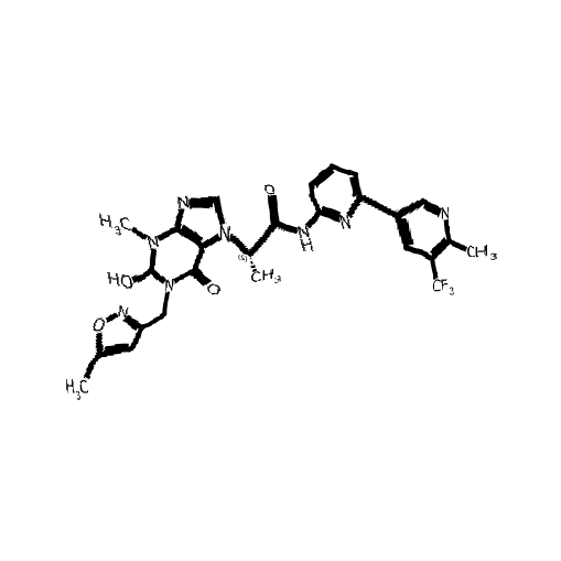 Cc1cc(CN2C(=O)c3c(ncn3[C@@H](C)C(=O)Nc3cccc(-c4cnc(C)c(C(F)(F)F)c4)n3)N(C)C2O)no1